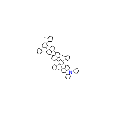 Cc1ccccc1-c1ccc(-c2ccccc2C)c2c1-c1ccc3c4ccc5c6c(-c7ccccc7C)c7c8cccc9c(N(c%10ccccc%10)c%10ccccc%10)ccc(c7c(-c7ccccc7C)c6c6ccc(c7ccc-2c1c37)c4c56)c98